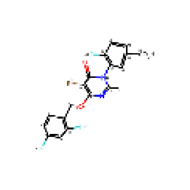 Cc1nc(OCc2ccc(F)cc2F)c(Br)c(=O)n1-c1cc(C(=O)O)ccc1F